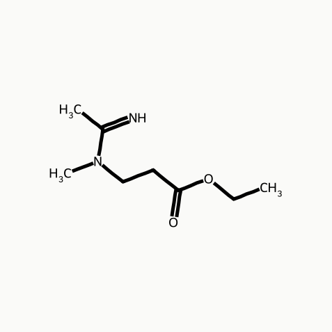 CCOC(=O)CCN(C)C(C)=N